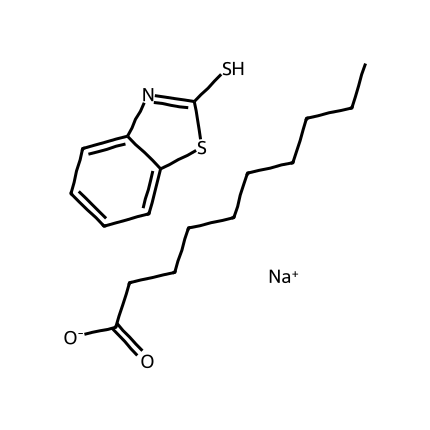 CCCCCCCCCC(=O)[O-].Sc1nc2ccccc2s1.[Na+]